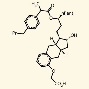 CCCCC[C@@H](CC[C@@H]1[C@H]2Cc3cccc(OCC(=O)O)c3C[C@H]2C[C@H]1O)OC(=O)C(C)c1ccc(CC(C)C)cc1